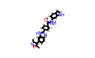 Cc1noc(C)c1-c1ccc2nc(-c3ccc(C(=O)Nc4ccc5cc[nH]c5c4)cc3)[nH]c2c1